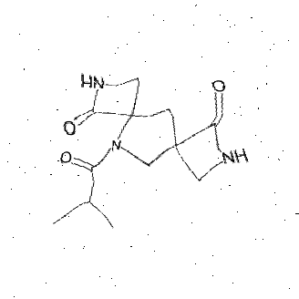 CC(C)C(=O)N1CC2(CNC2=O)CC12CNC2=O